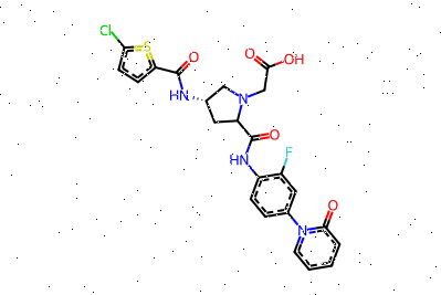 O=C(O)CN1C[C@@H](NC(=O)c2ccc(Cl)s2)CC1C(=O)Nc1ccc(-n2ccccc2=O)cc1F